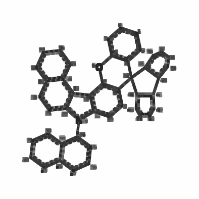 c1ccc2c(c1)Oc1c(ccc3c1c1c4ccccc4ccc1n3-c1cccc3ccccc13)C21c2ccccc2-c2ccccc21